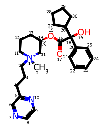 C[N+]1(CCCc2cnccn2)CCC[C@@H](OC(=O)C(O)(c2ccccc2)C2CCCC2)C1